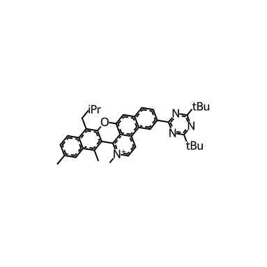 Cc1ccc2c(CC(C)C)c3c(c(C)c2c1)-c1c2c(cc4ccc(-c5nc(C(C)(C)C)nc(C(C)(C)C)n5)cc4c2cc[n+]1C)O3